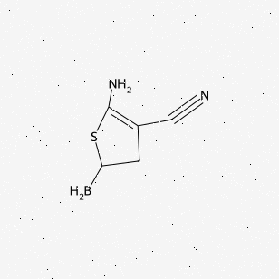 BC1CC(C#N)=C(N)S1